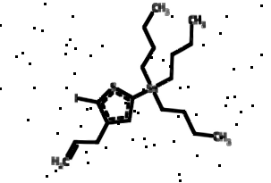 C=CCc1c[c]([Sn]([CH2]CCC)([CH2]CCC)[CH2]CCC)sc1I